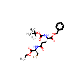 CCOC(=O)[C@H](CS)NC(=O)CC[C@H](NC(=O)OC(C)(C)C)C(=O)OCc1ccccc1